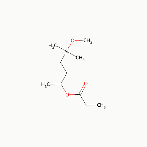 CCC(=O)OC(C)CC[Si](C)(C)OC